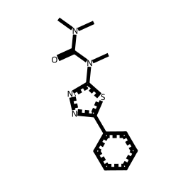 CN(C)C(=O)N(C)c1nnc(-c2ccccc2)s1